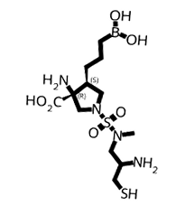 CN(CC(N)CS)S(=O)(=O)N1C[C@H](CCCB(O)O)[C@](N)(C(=O)O)C1